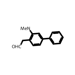 CNc1cc(-c2ccccc2)ccc1CC=O